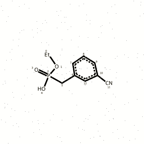 CCOP(=O)(O)Cc1cccc(C#N)c1